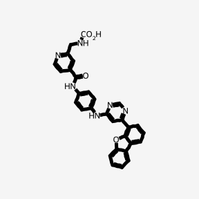 O=C(O)NCc1cc(C(=O)Nc2ccc(Nc3cc(-c4cccc5c4oc4ccccc45)ncn3)cc2)ccn1